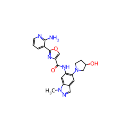 Cn1ncc2cc(N3CC[C@@H](O)C3)c(NC(=O)c3coc(-c4cccnc4N)n3)cc21